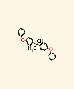 CC(C)(c1ccc(Oc2ccccc2)cc1)c1ccc(Oc2ccccc2)cc1